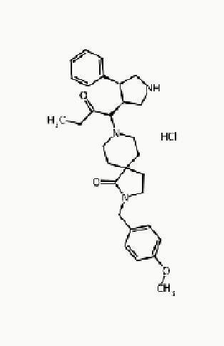 CCC(=O)C([C@@H]1CNC[C@@H]1c1ccccc1)N1CCC2(CCN(Cc3ccc(OC)cc3)C2=O)CC1.Cl